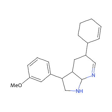 COc1cccc(C2CNC3N=CC(C4C=CCCC4)CC32)c1